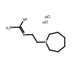 Cl.Cl.NC(S)=NCCN1CCCCCC1